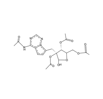 CC(=O)Nc1ncnn2c(C[C@@]3(OC(C)=O)C(O)OC(COC(C)=O)[C@H]3OC(C)=O)ccc12